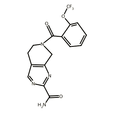 NC(=O)c1n[c]c2c(n1)CN(C(=O)c1ccccc1OC(F)(F)F)CC2